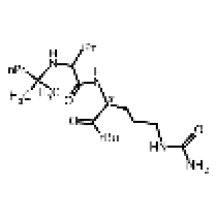 CCCC(C)(C)NC(C(=O)N[C@@H](CCCNC(N)=O)C(=O)C(C)(C)C)C(C)C